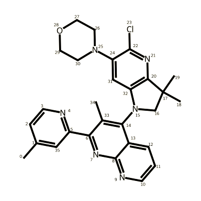 Cc1ccnc(-c2nc3ncccc3c(N3CC(C)(C)c4nc(Cl)c(N5CCOCC5)cc43)c2C)c1